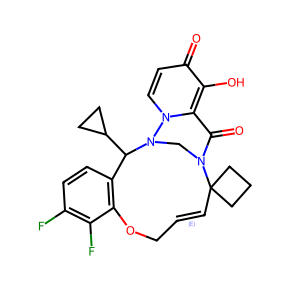 O=C1c2c(O)c(=O)ccn2N2CN1C1(/C=C/COc3c(ccc(F)c3F)C2C2CC2)CCC1